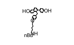 CCCCNCCCCCCOc1ccc(Cc2c(-c3ccc(O)cc3)ccc3cc(O)ccc23)cc1